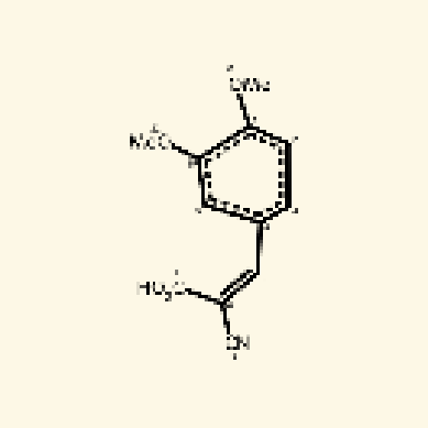 COc1ccc(C=C(C#N)C(=O)O)cc1OC